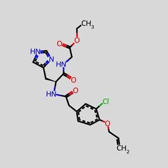 C=CCOc1ccc(CC(=O)N[C@@H](Cc2c[nH]cn2)C(=O)NCC(=O)OCC)cc1Cl